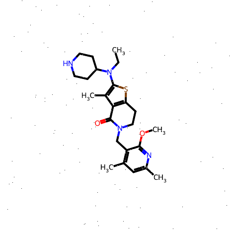 CCN(c1sc2c(c1C)C(=O)N(Cc1c(C)cc(C)nc1OC)CC2)C1CCNCC1